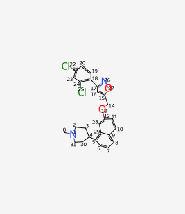 CN1CCC(c2cccc3ccc(OCc4cc(-c5ccc(Cl)cc5Cl)no4)cc23)CC1